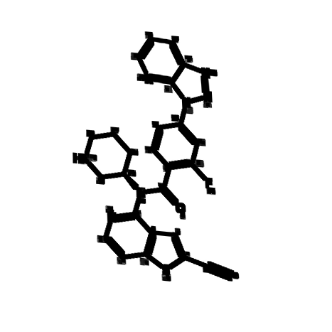 C#Cc1cc2c(N(C(=O)c3ccc(-n4nnc5cccnc54)cc3F)[C@@H]3CCCNC3)nccc2s1